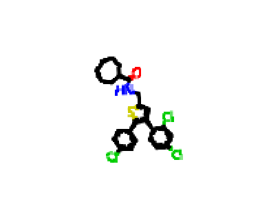 O=C(NCc1cc(-c2ccc(Cl)cc2Cl)c(-c2ccc(Cl)cc2)s1)C1CCCCCC1